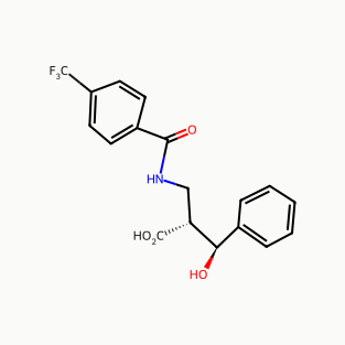 O=C(NC[C@@H](C(=O)O)[C@H](O)c1ccccc1)c1ccc(C(F)(F)F)cc1